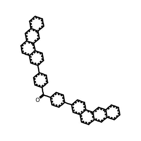 O=C(c1ccc(-c2ccc3c(ccc4cc5ccccc5cc43)c2)cc1)c1ccc(-c2ccc3c(ccc4cc5ccccc5cc43)c2)cc1